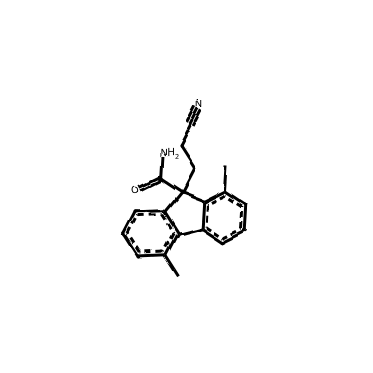 Cc1cccc2c1-c1cccc(C)c1C2(CCC#N)C(N)=O